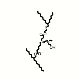 CCCCCCCCC(CCCCCC)COC(=O)CCCCCN(CCC(=O)OCCSCC(CCCCCC)CCCCCCCC)CCN(CC)CCO